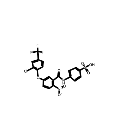 O=C(Nc1ccc(S(=O)(=O)O)cc1)c1cc(Oc2ccc(C(F)(F)F)cc2Cl)ccc1[N+](=O)[O-]